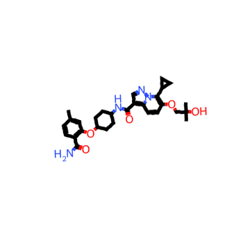 Cc1ccc(C(N)=O)c(OC2CCC(NC(=O)c3cnn4c(C5CC5)c(OCC(C)(C)O)ccc34)CC2)c1